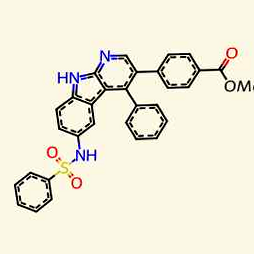 COC(=O)c1ccc(-c2cnc3[nH]c4ccc(NS(=O)(=O)c5ccccc5)cc4c3c2-c2ccccc2)cc1